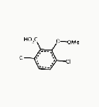 COOc1c(Cl)ccc(Cl)c1C(=O)O